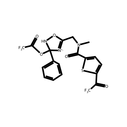 CN(CC1=[N+]C(OC(=O)C(F)(F)F)(c2ccccc2)NO1)C(=O)c1ccc(C(=O)C(F)(F)F)s1